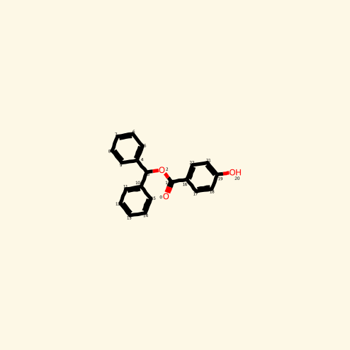 O=C(OC(c1ccccc1)c1ccccc1)c1ccc(O)cc1